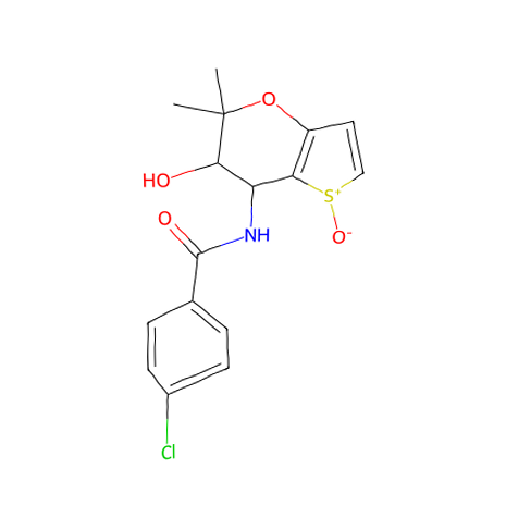 CC1(C)Oc2cc[s+]([O-])c2C(NC(=O)c2ccc(Cl)cc2)C1O